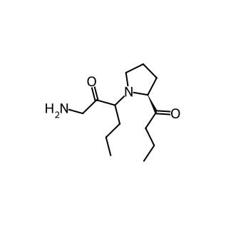 CCCC(=O)[C@@H]1CCCN1C(CCC)C(=O)CN